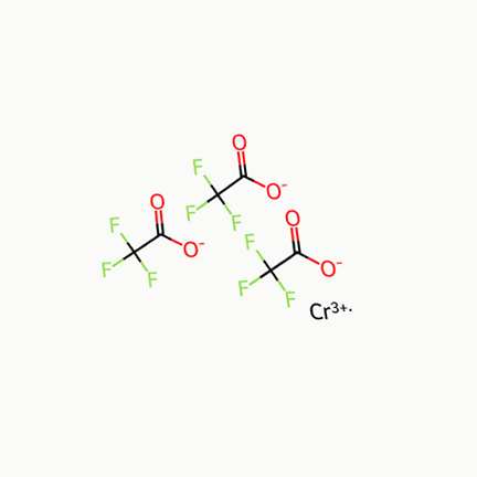 O=C([O-])C(F)(F)F.O=C([O-])C(F)(F)F.O=C([O-])C(F)(F)F.[Cr+3]